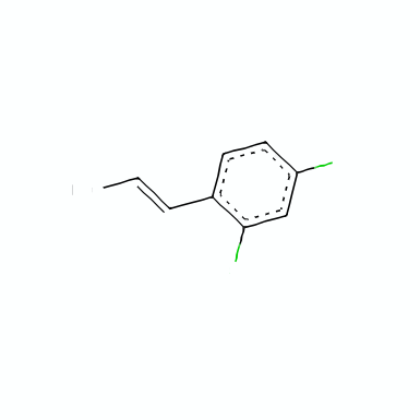 CC=Cc1ccc(Cl)cc1Cl